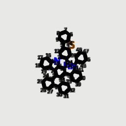 B1c2cc3sc4ccccc4c3cc2-n2c3ccccc3c3c(-c4ccccc4-c4ccccc4)cc(-c4ccccc4Nc4ccccc4)c1c32